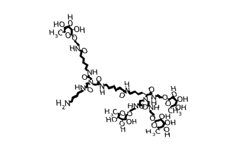 C[C@@H]1O[C@@H](OCCNC(=O)CCCCCNC(=O)CN(CC(=O)NCCCCCN)CC(=O)NCCCCCC(=O)NCCCC[C@@H](C(=O)NCCO[C@@H]2O[C@@H](C)[C@@H](O)[C@@H](O)[C@@H]2O)N(CC(=O)NCCO[C@@H]2O[C@@H](C)[C@@H](O)[C@@H](O)[C@@H]2O)CC(=O)NCCO[C@@H]2O[C@@H](C)[C@@H](O)[C@@H](O)[C@@H]2O)[C@@H](O)[C@H](O)[C@@H]1O